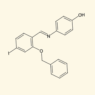 Oc1ccc(N=Cc2ccc(I)cc2OCc2ccccc2)cc1